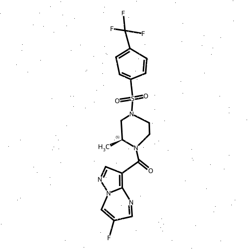 C[C@H]1CN(S(=O)(=O)c2ccc(C(F)(F)F)cc2)CCN1C(=O)c1cnn2cc(F)cnc12